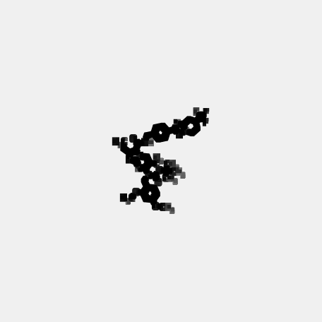 CCc1nc2nc(N(Cc3ccc(OC)cc3OC)C(=O)OC(C)(C)C)c(C)cn2c1C(=O)NCc1ccc(-c2nc3n(n2)CCC(C(F)(F)F)C3)cc1